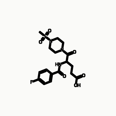 CS(=O)(=O)N1CCN(C(=O)C(CCC(=O)O)NC(=O)c2ccc(F)cc2)CC1